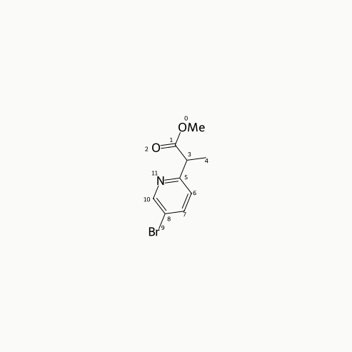 COC(=O)C(C)c1ccc(Br)cn1